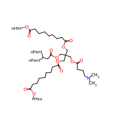 CCCCCCOC(=O)CCCCCCCC(=O)OCC(COC(=O)CCCCCCCC(=O)OCCCCCC)(COC(=O)CCCN(C)C)COC(=O)CC(CCCCC)CCCCC